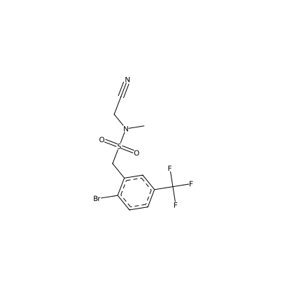 CN(CC#N)S(=O)(=O)Cc1cc(C(F)(F)F)ccc1Br